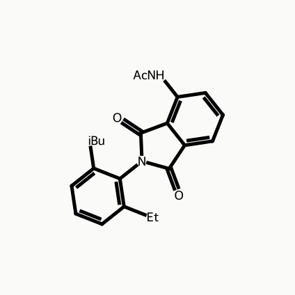 CCc1cccc(C(C)CC)c1N1C(=O)c2cccc(NC(C)=O)c2C1=O